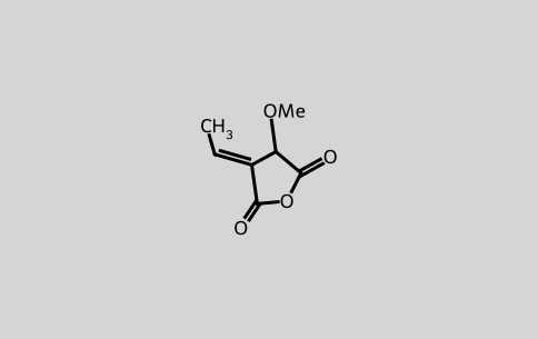 CC=C1C(=O)OC(=O)C1OC